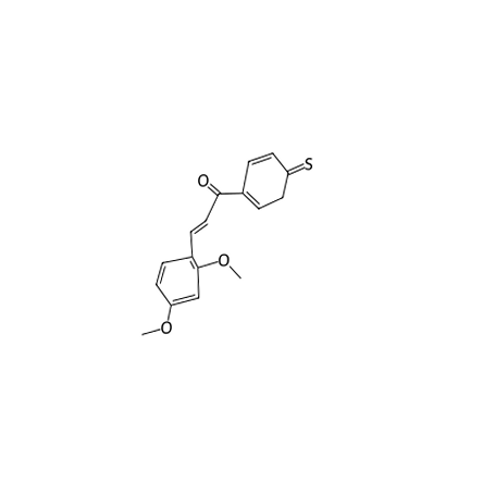 COc1ccc(C=CC(=O)C2=CCC(=S)C=C2)c(OC)c1